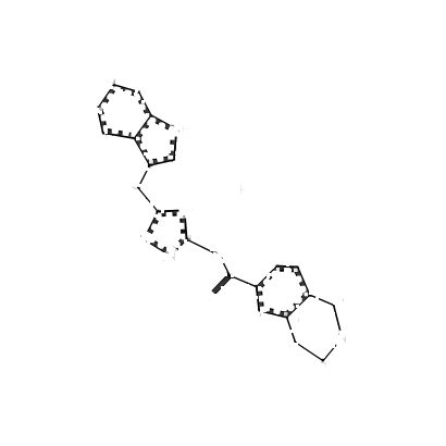 Cl.O=C(Nc1nnc(Cc2c[nH]c3ccccc23)s1)c1ccc2c(c1)CCNC2